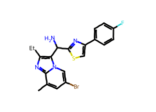 CCc1nc2c(C)cc(Br)cn2c1C(N)c1nc(-c2ccc(F)cc2)cs1